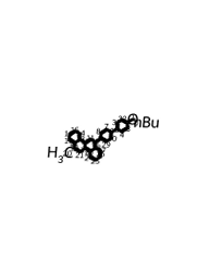 CCCCOc1ccc(-c2ccc(-c3cc4c5ccccc5c(C)cc4c4ccccc34)cc2)cc1